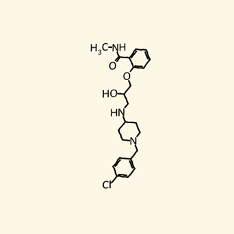 CNC(=O)c1ccccc1OCC(O)CNC1CCN(Cc2ccc(Cl)cc2)CC1